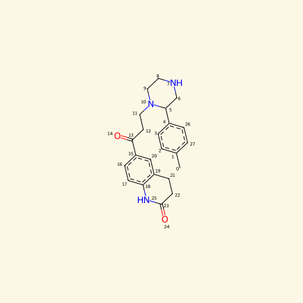 Cc1ccc(C2CNCCN2CCC(=O)c2ccc3c(c2)CCC(=O)N3)cc1